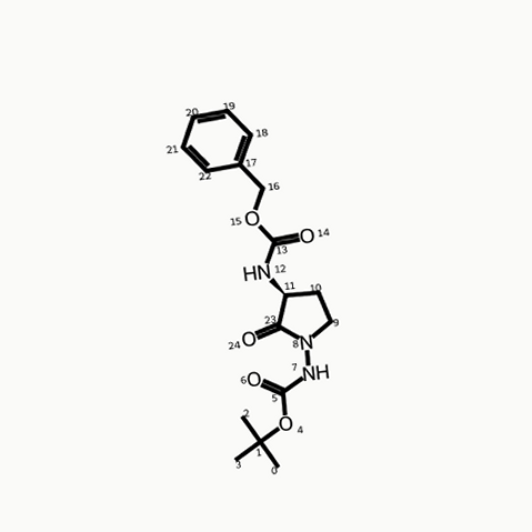 CC(C)(C)OC(=O)NN1CC[C@H](NC(=O)OCc2ccccc2)C1=O